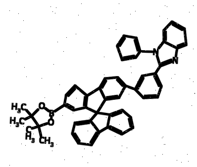 CC1(C)OB(c2ccc3c(c2)C2(c4ccccc4-c4ccccc42)c2cc(-c4cccc(-c5nc6ccccc6n5-c5ccccc5)c4)ccc2-3)OC1(C)C